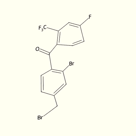 O=C(c1ccc(CBr)cc1Br)c1ccc(F)cc1C(F)(F)F